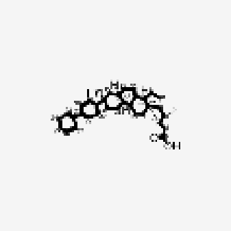 C[C@H](CCC(=O)O)[C@H]1CC[C@H]2C3=CC[C@@H]4C[C@](O)(c5ccc(-c6ccccc6)cc5)CC[C@]4(C)[C@H]3CC[C@]12C